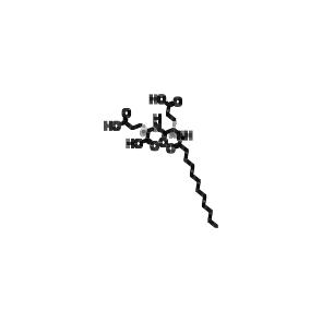 CCCCCCCCCCCC(=O)N[C@@H](CCC(=O)O)C(=O)N[C@@H](CCC(=O)O)C(=O)O